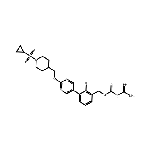 N=C(N)NC(=O)OCc1cccc(-c2cnc(OCC3CCN(S(=O)(=O)C4CC4)CC3)nc2)c1F